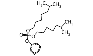 CC(C)CCCCCOP(=O)(OCCCCCC(C)C)Oc1ccccc1